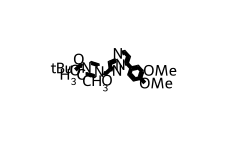 COc1ccc(-c2ccnc3cc(C(=O)N4CCN(C(=O)OC(C)(C)C)C(C)(C)C4)nn23)cc1OC